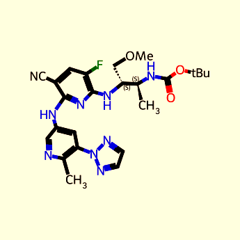 COC[C@@H](Nc1nc(Nc2cnc(C)c(-n3nccn3)c2)c(C#N)cc1F)[C@H](C)NC(=O)OC(C)(C)C